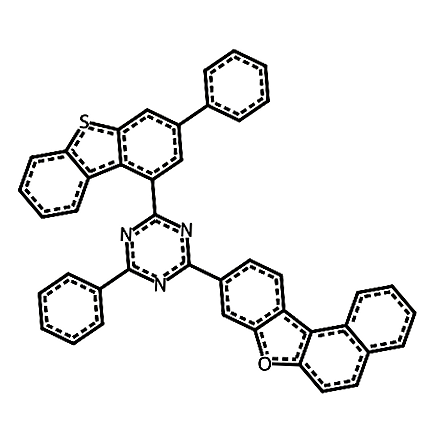 c1ccc(-c2cc(-c3nc(-c4ccccc4)nc(-c4ccc5c(c4)oc4ccc6ccccc6c45)n3)c3c(c2)sc2ccccc23)cc1